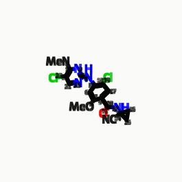 CNc1nc(Nc2cc(OC)c(C(=O)NC3(C#N)CC3)cc2Cl)ncc1Cl